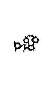 Cc1cc(C)cc(NC(=O)c2cncc(-c3ccnc(C)c3)c2N2CC[C@](C)(N)C2)c1